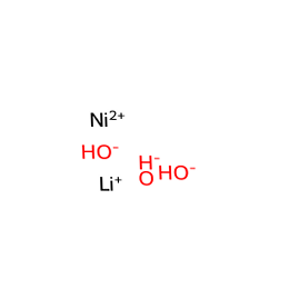 [Li+].[Ni+2].[OH-].[OH-].[OH-]